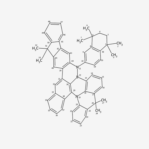 CC1(C)CCC(C)(C)c2cc(N3B4c5cccc6c5N(c5ccccc5C6(C)C)c5c4c(cc4ccccc54)-c4cc5c(cc43)-c3ccccc3C5(C)C)ccc21